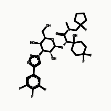 CN(CC1(F)CCCC1)C(=O)[C@@H](S[C@@H]1O[C@H](CO)[C@H](O)[C@H](n2cc(-c3cc(F)c(F)c(F)c3)nn2)[C@H]1O)C1(O)CCC(F)(F)CC1